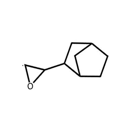 [CH]1OC1C1CC2CCC1C2